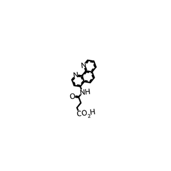 O=C(O)CCC(=O)Nc1ccnc2c1ccc1cccnc12